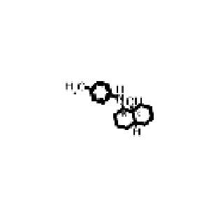 Cc1ccc(N[C@@H]2CCC[C@H]3CCCC[C@]32O)cc1